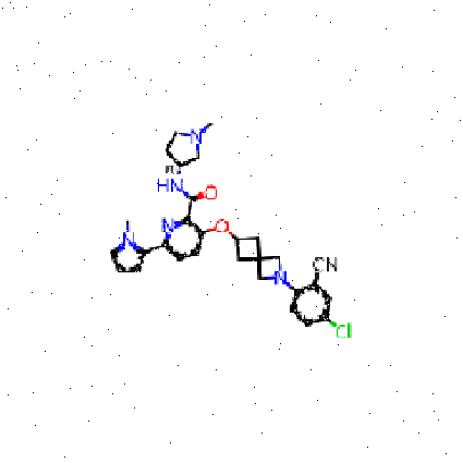 CN1CC[C@@H](NC(=O)c2nc(-c3cccn3C)ccc2OC2CC3(C2)CN(c2ccc(Cl)cc2C#N)C3)C1